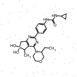 CCC1COCCN1c1nc(-c2ccc(NC(=O)NC3CC3)cc2)nc2c1C(C)S(O)(O)C2